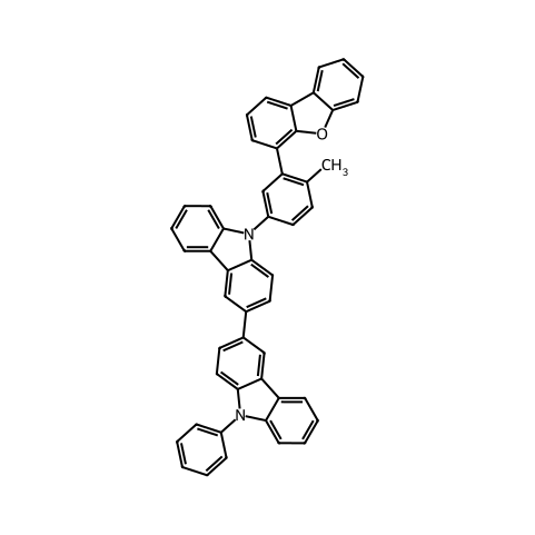 Cc1ccc(-n2c3ccccc3c3cc(-c4ccc5c(c4)c4ccccc4n5-c4ccccc4)ccc32)cc1-c1cccc2c1oc1ccccc12